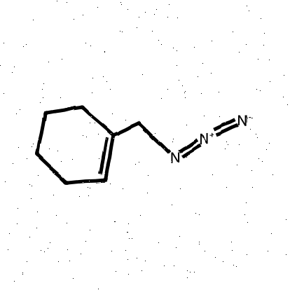 [N-]=[N+]=NCC1=CCCCC1